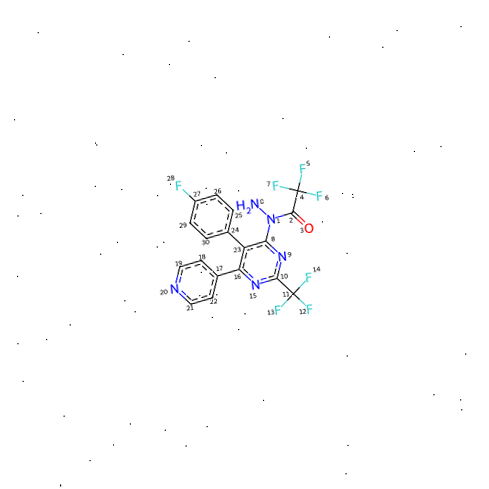 NN(C(=O)C(F)(F)F)c1nc(C(F)(F)F)nc(-c2ccncc2)c1-c1ccc(F)cc1